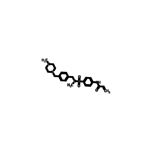 C=CC(=O)Nc1ccc(S(=O)(=O)N(C)Cc2ccc(CN3CCN(C)CC3)cc2)cc1